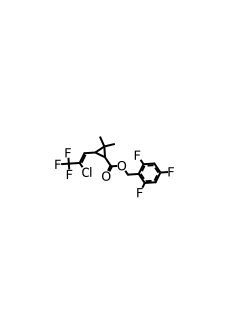 CC1(C)C(C=C(Cl)C(F)(F)F)C1C(=O)OCc1c(F)cc(F)cc1F